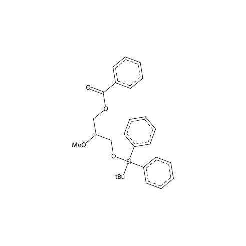 COC(COC(=O)c1ccccc1)CO[Si](c1ccccc1)(c1ccccc1)C(C)(C)C